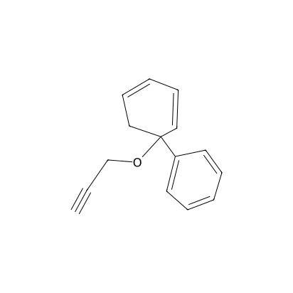 C#CCOC1(c2ccccc2)C=CC=CC1